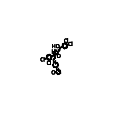 CC(CCN1CCC(N2CCCC2=O)CC1)(C(=O)NCC(O)c1ccc(Cl)c(Cl)c1)c1ccc(Cl)c(Cl)c1